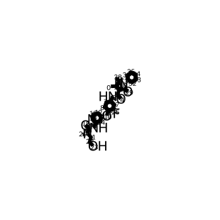 Cc1c(C(=O)Nc2ccc(Oc3ccnc(NC(=O)N(C)CCO)c3)c(F)c2)c(=O)n(-c2ccccc2)n1C